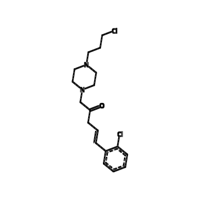 O=C(CC=Cc1ccccc1Cl)CN1CCN(CCCCl)CC1